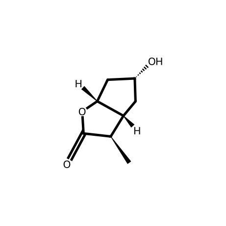 C[C@H]1C(=O)O[C@@H]2C[C@H](O)C[C@@H]21